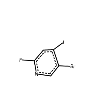 Fc1cc(I)c(Br)cn1